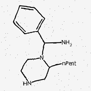 CCCCCC1CNCCN1C(N)c1ccccc1